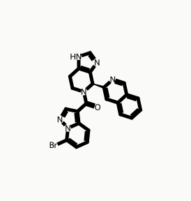 O=C(c1cnn2c(Br)cccc12)N1CCc2[nH]cnc2[C@H]1c1cc2ccccc2cn1